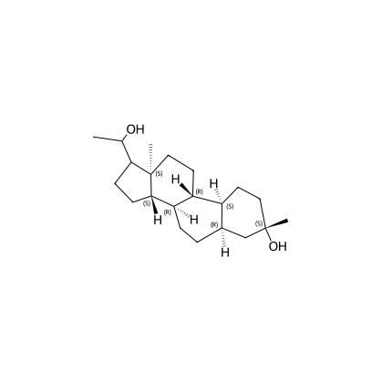 CC(O)C1CC[C@H]2[C@@H]3CC[C@@H]4C[C@@](C)(O)CC[C@@H]4[C@H]3CC[C@]12C